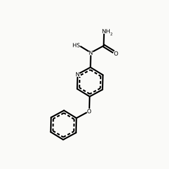 NC(=O)N(S)c1ccc(Oc2ccccc2)cn1